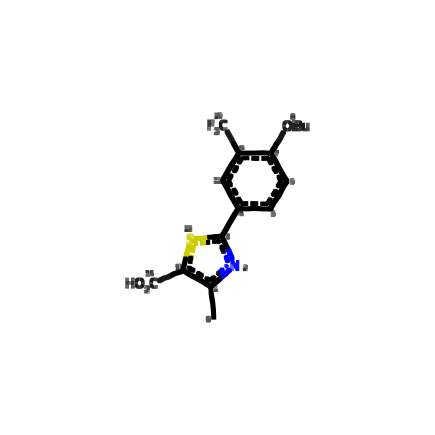 Cc1nc(-c2ccc(OCC(C)C)c(C(F)(F)F)c2)sc1C(=O)O